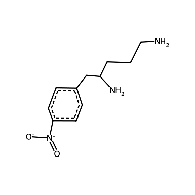 NCCCC(N)Cc1ccc([N+](=O)[O-])cc1